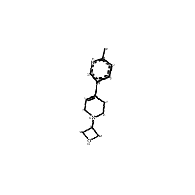 Cc1ccc(C2=CCN(C3COC3)CC2)cn1